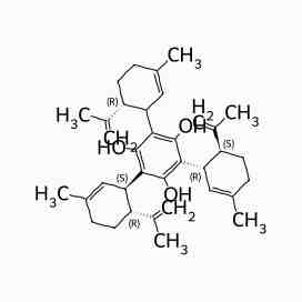 C=C(C)[C@H]1CCC(C)=C[C@@H]1c1c(O)c(C2C=C(C)CC[C@H]2C(=C)C)c(O)c([C@@H]2C=C(C)CC[C@H]2C(=C)C)c1O